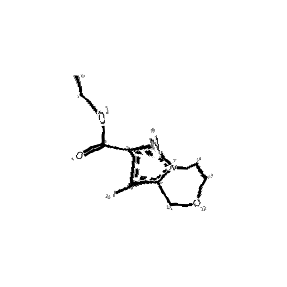 CCOC(=O)c1nn2c(c1I)COCC2